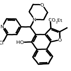 CCOC(=O)c1c(C)oc2c1c(C(c1ccnc(Cl)c1)N1CCOCC1)c(O)c1ccccc12